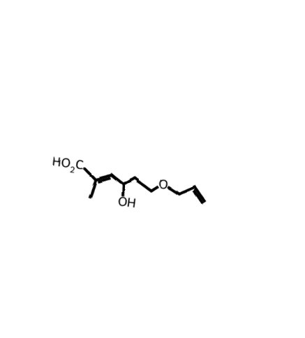 C=CCOCCC(O)C=C(C)C(=O)O